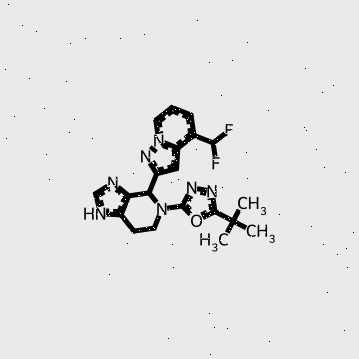 CC(C)(C)c1nnc(N2CCc3[nH]cnc3C2c2cc3c(C(F)F)cccn3n2)o1